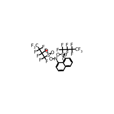 O=S(=O)(ON(OS(=O)(=O)C(F)(F)C(F)(F)C(F)(F)C(F)(F)F)c1cccc2ccccc12)C(F)(F)C(F)(F)C(F)(F)C(F)(F)F